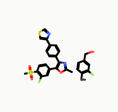 CSc1ccc(CO)cc1F.Cc1nc(-c2ccc(-c3cscn3)cc2)c(-c2ccc(S(C)(=O)=O)c(F)c2)o1